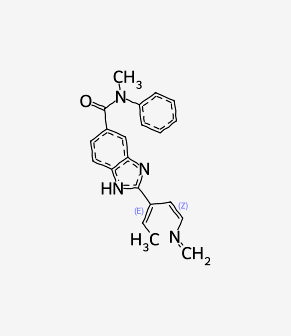 C=N/C=C\C(=C/C)c1nc2cc(C(=O)N(C)c3ccccc3)ccc2[nH]1